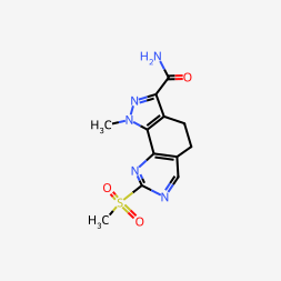 Cn1nc(C(N)=O)c2c1-c1nc(S(C)(=O)=O)ncc1CC2